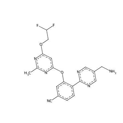 Cc1nc(OCC(F)F)cc(Oc2cc(C#N)ccc2-c2ncc(CN)cn2)n1